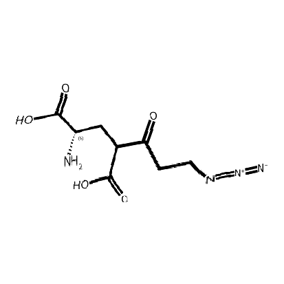 [N-]=[N+]=NCCC(=O)C(C[C@H](N)C(=O)O)C(=O)O